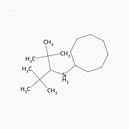 CC(C)(C)C([SiH2][C]1CCCCCCC1)C(C)(C)C